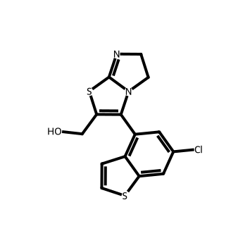 OCC1=C(c2cc(Cl)cc3sccc23)N2CCN=C2S1